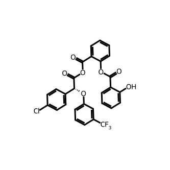 O=C(Oc1ccccc1C(=O)OC(=O)[C@H](Oc1cccc(C(F)(F)F)c1)c1ccc(Cl)cc1)c1ccccc1O